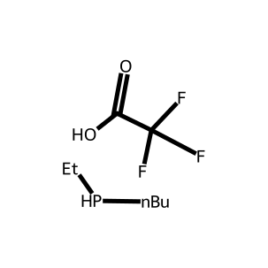 CCCCPCC.O=C(O)C(F)(F)F